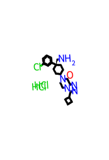 Cl.Cl.NC[C@]1(c2cccc(Cl)c2)CC[C@@H](N2CCn3c(nnc3C3CCC3)C2=O)CC1